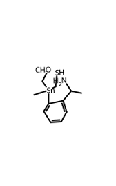 CC(N)c1cccc[c]1[Sn]([CH3])([CH2]S)[CH2]C=O